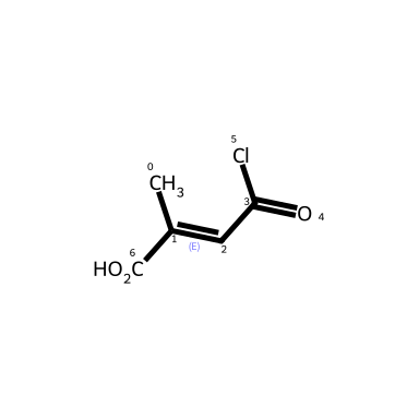 C/C(=C\C(=O)Cl)C(=O)O